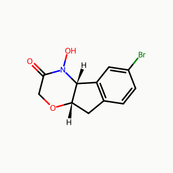 O=C1CO[C@H]2Cc3ccc(Br)cc3[C@H]2N1O